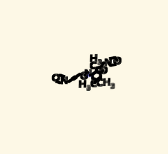 Cc1c(CN2CCOCC2)oc2c1/C(=N/OCC#CCN1CCOCC1)CC(C)(C)C2